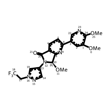 COc1cc(-c2ccc3c(n2)[C@@H](OC)N(c2cnn(CC(F)(F)F)c2)C3=O)cnc1OC